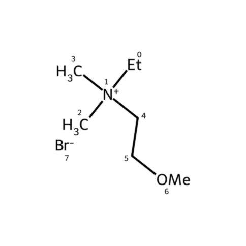 CC[N+](C)(C)CCOC.[Br-]